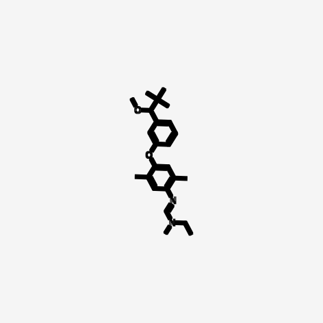 CCN(C)/C=N/c1cc(C)c(Oc2cccc(C(OC)C(C)(C)C)c2)cc1C